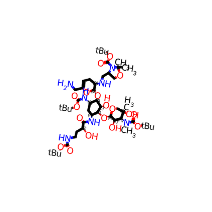 CN(C(=O)OC(C)(C)C)[C@@H]1[C@@H](O)[C@@H](O[C@@H]2[C@@H](O)[C@H](O[C@H]3OC(CN)=CC[C@H]3NCC3COC(C)(C)N3C(=O)OC(C)(C)C)[C@@H](NC(=O)OC(C)(C)C)C[C@H]2NC(=O)[C@@H](O)CCNC(=O)OC(C)(C)C)OC[C@]1(C)O